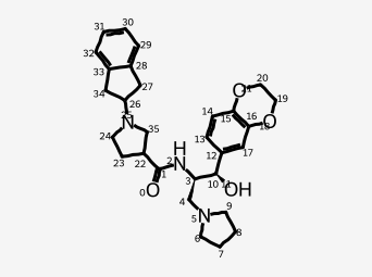 O=C(N[C@H](CN1CCCC1)[C@H](O)c1ccc2c(c1)OCCO2)C1CCN(C2Cc3ccccc3C2)C1